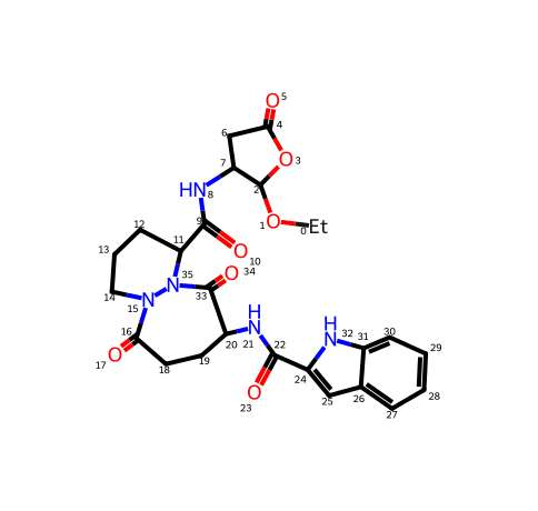 CCOC1OC(=O)CC1NC(=O)C1CCCN2C(=O)CCC(NC(=O)c3cc4ccccc4[nH]3)C(=O)N12